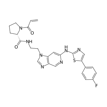 C=CC(=O)N1CCC[C@H]1C(=O)NCCn1cnc2cnc(Nc3ncc(-c4ccc(F)cc4)s3)cc21